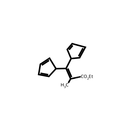 CCOC(=O)C(C)=C(C1C=CC=C1)C1C=CC=C1